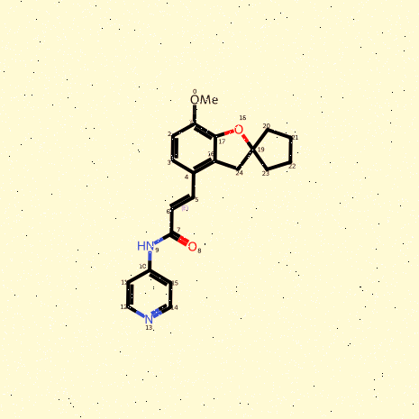 COc1ccc(/C=C/C(=O)Nc2ccncc2)c2c1OC1(CCCC1)C2